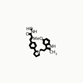 COc1ccc2[nH]c(C)c(CCN3CCCC3c3ccc(C=CC(=O)NO)cc3)c2c1